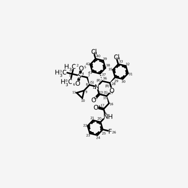 CC(C)(C)S(=O)(=O)C[C@H](C1CC1)N1C(=O)[C@H](CC(=O)Nc2ccccc2F)O[C@H](c2cccc(Cl)c2)[C@H]1c1ccc(Cl)cc1